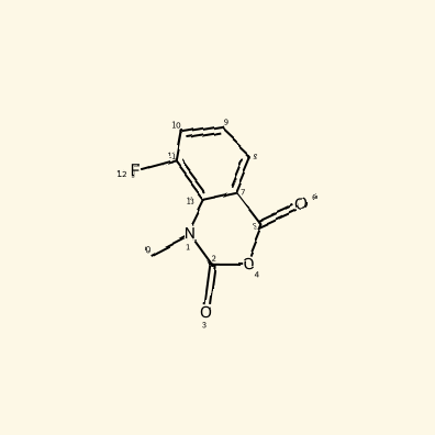 Cn1c(=O)oc(=O)c2cccc(F)c21